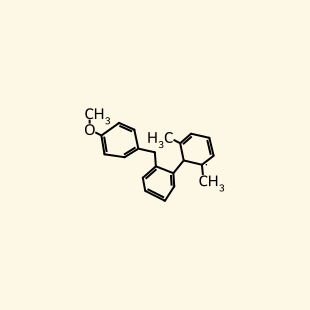 COc1ccc(Cc2ccccc2C2[C](C)C=CC=C2C)cc1